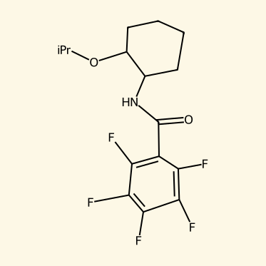 CC(C)OC1CCCCC1NC(=O)c1c(F)c(F)c(F)c(F)c1F